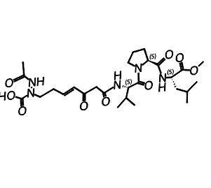 COC(=O)[C@H](CC(C)C)NC(=O)[C@@H]1CCCN1C(=O)[C@@H](NC(=O)CC(=O)C=CCCN(NC(C)=O)C(=O)O)C(C)C